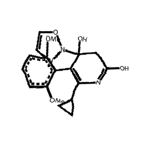 COc1cccc(OC)c1C1=C(C2CC2)N=C(O)CC1(O)N1NC=CO1